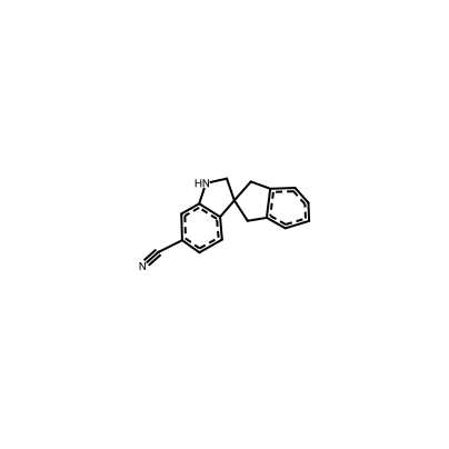 N#Cc1ccc2c(c1)NCC21Cc2ccccc2C1